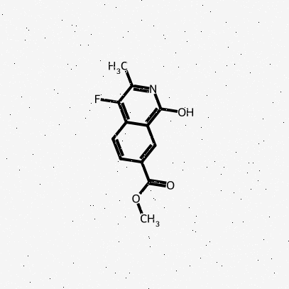 COC(=O)c1ccc2c(F)c(C)nc(O)c2c1